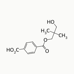 CC(C)(CO)COC(=O)c1ccc(C(=O)O)cc1